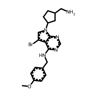 COc1ccc(CNc2ncnc3c2c(Br)cn3C2CCC(CN)C2)cc1